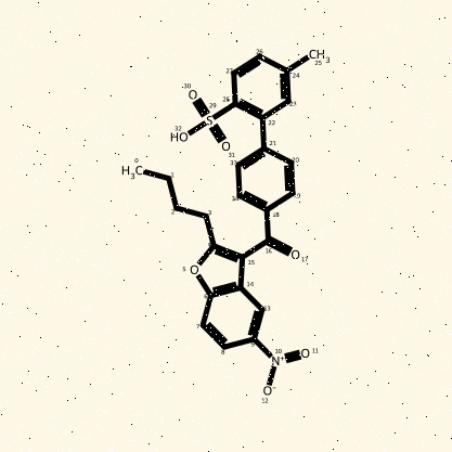 CCCCc1oc2ccc([N+](=O)[O-])cc2c1C(=O)c1ccc(-c2cc(C)ccc2S(=O)(=O)O)cc1